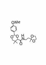 COc1ccc(C2OCC(C)(C)C(C(=O)NCCC3(C)OCCO3)O2)cc1